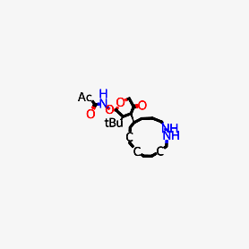 CC(=O)C(=O)NOC1OCC(=O)C([C@@H]2CCCCCCCCNNCCC2)[C@H]1C(C)(C)C